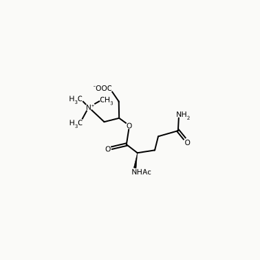 CC(=O)N[C@H](CCC(N)=O)C(=O)OC(CC(=O)[O-])C[N+](C)(C)C